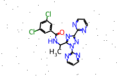 CC(NC(=O)c1cc(Cl)cc(Cl)c1)c1nc(-c2ncccn2)nn1-c1ncccn1